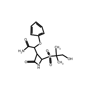 CC(C)(CO)S(=O)(=O)C1NC(=O)C1C(Oc1ccccc1)C(N)=O